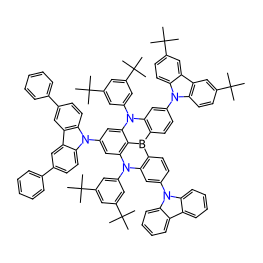 CC(C)(C)c1cc(N2c3cc(-n4c5ccccc5c5ccccc54)ccc3B3c4ccc(-n5c6ccc(C(C)(C)C)cc6c6cc(C(C)(C)C)ccc65)cc4N(c4cc(C(C)(C)C)cc(C(C)(C)C)c4)c4cc(-n5c6ccc(-c7ccccc7)cc6c6cc(-c7ccccc7)ccc65)cc2c43)cc(C(C)(C)C)c1